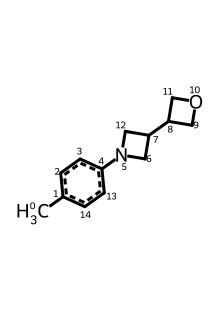 Cc1ccc(N2CC(C3COC3)C2)cc1